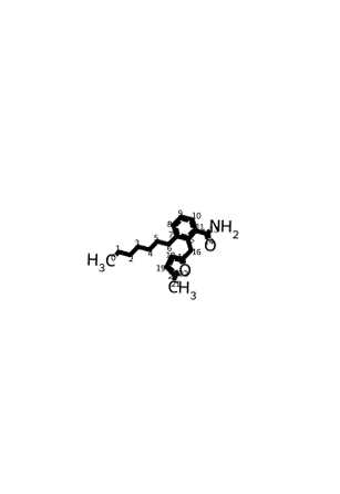 CCCCCCCc1cccc(C(N)=O)c1Cc1ccc(C)o1